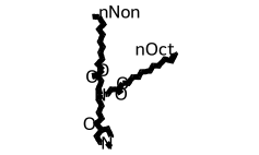 CCCCCCCC/C=C\CCCCCCCCOC(=O)CCN(CCCCC(=O)C1CCN(C)CC1)CCC(=O)OCCCCCCCCC(C)CCCCCCCCC